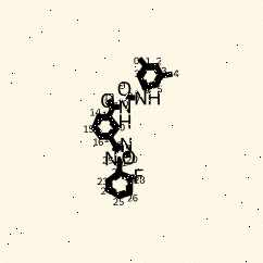 Cc1cc(C)cc(NC(=O)NC(=O)c2cccc(-c3noc(-c4ccccc4F)n3)c2)c1